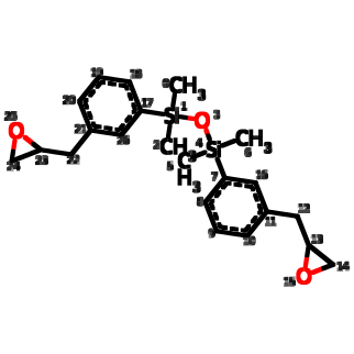 C[Si](C)(O[Si](C)(C)c1cccc(CC2CO2)c1)c1cccc(CC2CO2)c1